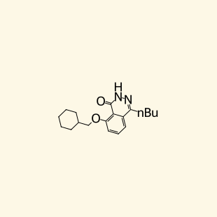 CCCCc1n[nH]c(=O)c2c(OCC3CCCCC3)cccc12